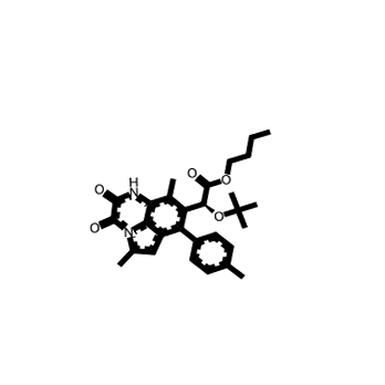 CCCCOC(=O)[C@@H](OC(C)(C)C)c1c(-c2ccc(C)cc2)c2cc(C)n3c(=O)c(=O)[nH]c(c1C)c23